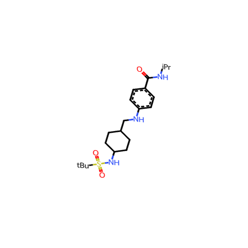 CC(C)NC(=O)c1ccc(NCC2CCC(NS(=O)(=O)C(C)(C)C)CC2)cc1